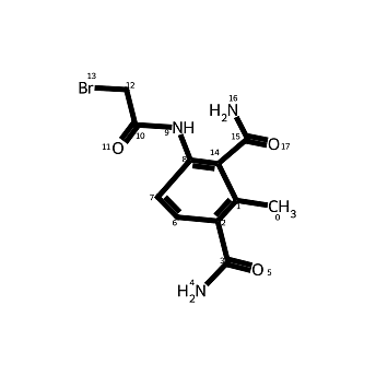 Cc1c(C(N)=O)ccc(NC(=O)CBr)c1C(N)=O